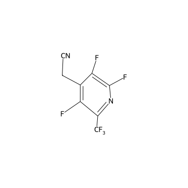 N#CCc1c(F)c(F)nc(C(F)(F)F)c1F